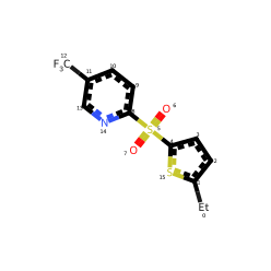 CCc1ccc(S(=O)(=O)c2ccc(C(F)(F)F)cn2)s1